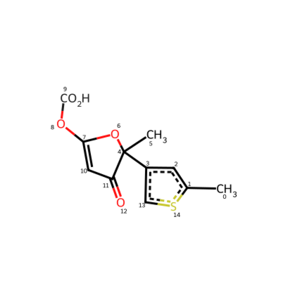 Cc1cc(C2(C)OC(OC(=O)O)=CC2=O)cs1